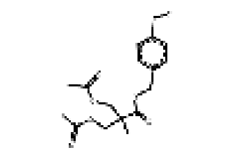 CC(=O)OCC(C)(COC(C)=O)C(=O)OCc1ccc(CCl)cc1